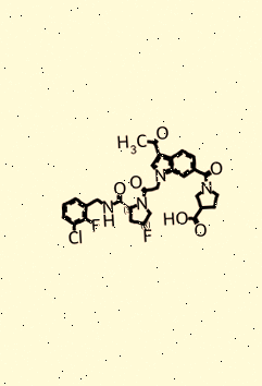 CC(=O)c1cn(CC(=O)N2C[C@H](F)C[C@H]2C(=O)NCc2cccc(Cl)c2F)c2cc(C(=O)N3CCC(C(=O)O)C3)ccc12